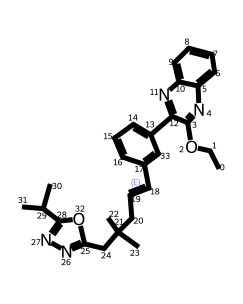 CCOc1nc2ccccc2nc1-c1cccc(/C=C/CC(C)(C)Cc2nnc(C(C)C)o2)c1